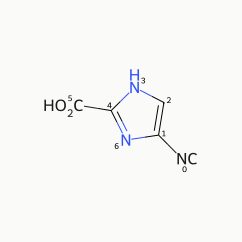 [C-]#[N+]c1c[nH]c(C(=O)O)n1